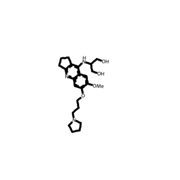 COc1cc2c(NC(CO)CO)c3c(nc2cc1OCCCN1CCCC1)CCC3